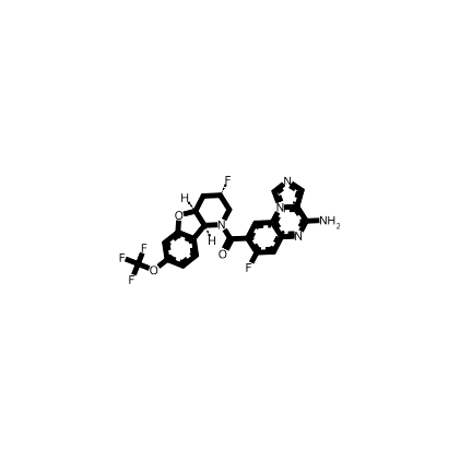 Nc1nc2cc(F)c(C(=O)N3C[C@@H](F)C[C@@H]4Oc5cc(OC(F)(F)F)ccc5[C@@H]43)cc2n2cncc12